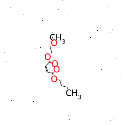 CCCCOC(=O)/C=C\C(=O)OCCOC